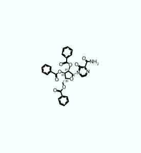 NC(=O)c1nccn([C@@H]2O[C@H](COC(=O)c3ccccc3)[C@@H](OC(=O)c3ccccc3)[C@H]2OC(=O)c2ccccc2)c1=O